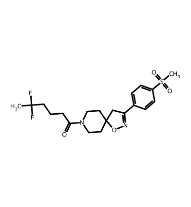 CC(F)(F)CCCC(=O)N1CCC2(CC1)CC(c1ccc(S(C)(=O)=O)cc1)=NO2